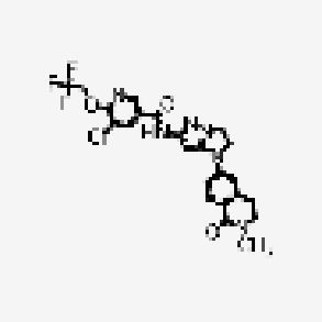 CN1CCc2cc(N3CCn4nc(NC(=O)c5cnc(OCC(F)(F)F)c(Cl)c5)cc43)ccc2C1=O